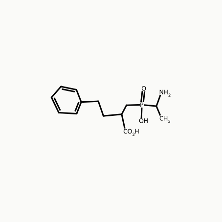 CC(N)P(=O)(O)CC(CCc1ccccc1)C(=O)O